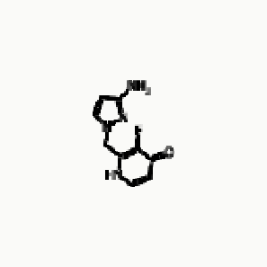 Nc1ccn(Cc2[nH]ccc(=O)c2F)n1